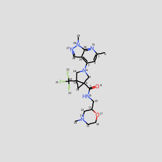 Cc1cc(N2CC3(C(=O)NCC4CN(C)CCO4)CC3(C(F)(F)F)C2)c2cnn(C)c2n1